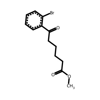 COC(=O)CCCCC(=O)c1ccccc1Br